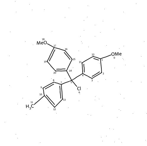 COc1ccc(C(Cl)(c2ccc(C)cc2)c2ccc(OC)cc2)cc1